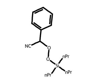 CCC[Si](CCC)(CCC)OOC(C#N)c1ccccc1